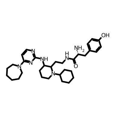 N[C@H](Cc1ccc(O)cc1)C(=O)NCCC1C(Nc2nccc(N3CCCCCC3)n2)CCCN1C1CCCCC1